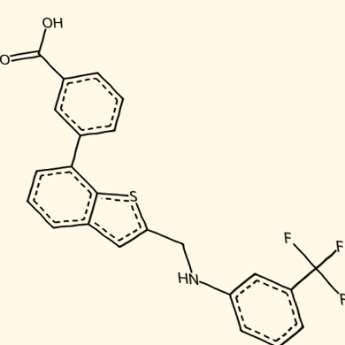 O=C(O)c1cccc(-c2cccc3cc(CNc4cccc(C(F)(F)F)c4)sc23)c1